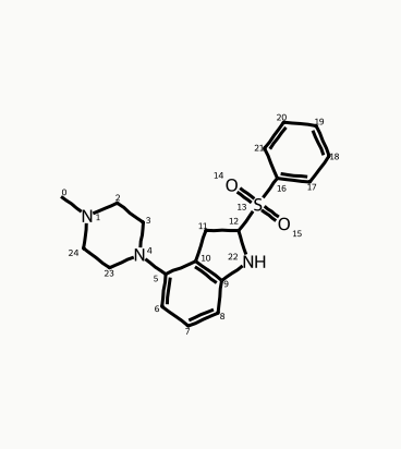 CN1CCN(c2cccc3c2CC(S(=O)(=O)c2ccccc2)N3)CC1